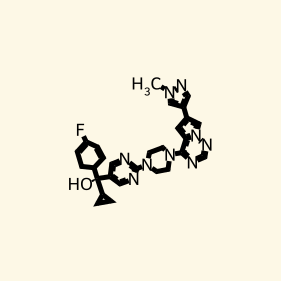 Cn1cc(-c2cc3c(N4CCN(c5ncc([C@](O)(C6C=CC(F)=CC6)C6CC6)cn5)CC4)ncnn3c2)cn1